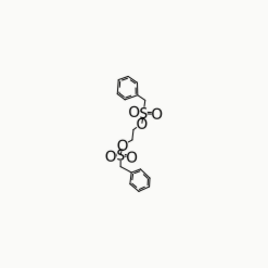 O=S(=O)(Cc1ccccc1)OCCOS(=O)(=O)Cc1ccccc1